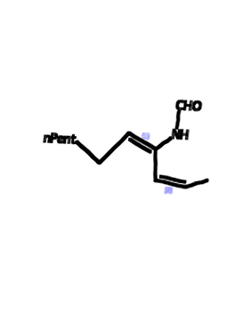 C/C=C\C(=C/CCCCCC)NC=O